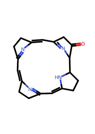 O=C1CC2=NC1C1CCC(=CC3=NC(=CC4=NC(=C2)CC4)CC3)N1